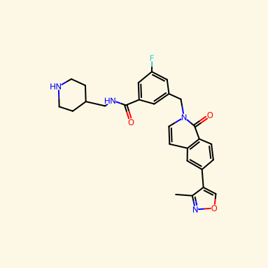 Cc1nocc1-c1ccc2c(=O)n(Cc3cc(F)cc(C(=O)NCC4CCNCC4)c3)ccc2c1